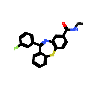 CCCCNC(=O)c1ccc2c(c1)N=C(c1cccc(F)c1)c1ccccc1S2